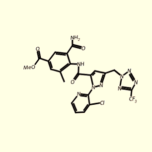 COC(=O)c1cc(C)c(NC(=O)c2cc(Cn3nnc(C(F)(F)F)n3)nn2-c2ncccc2Cl)c(C(N)=O)c1